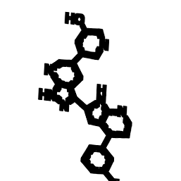 Oc1cncc(-c2cnc3[nH]nc(-c4cc5c(-c6cccc(F)c6)ccnc5[nH]4)c3c2)c1